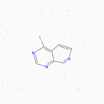 Ic1ncnc2cnccc12